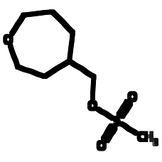 CS(=O)(=O)OCC1CCCOCC1